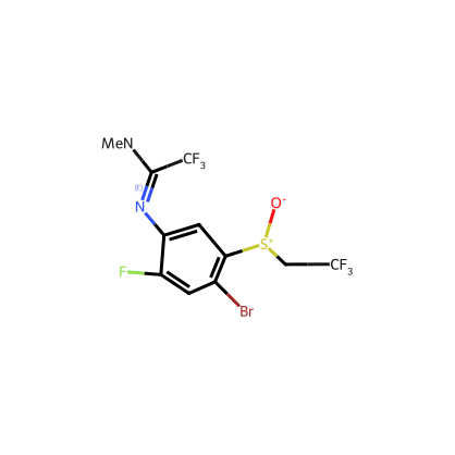 CN/C(=N/c1cc([S+]([O-])CC(F)(F)F)c(Br)cc1F)C(F)(F)F